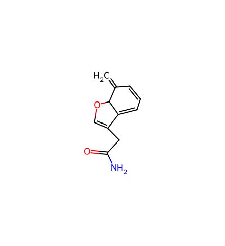 C=C1C=CC=C2C(CC(N)=O)=COC12